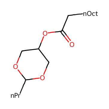 CCCCCCCCCC(=O)OC1COC(CCC)OC1